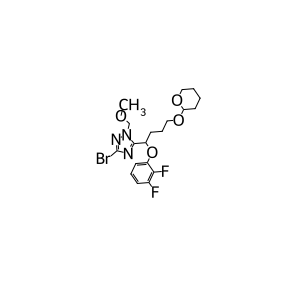 COCn1nc(Br)nc1C(CCCOC1CCCCO1)Oc1cccc(F)c1F